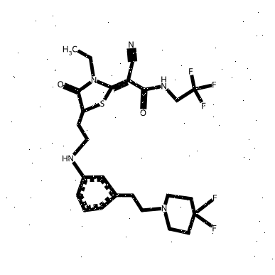 CCN1C(=O)C(CCNc2cccc(CCN3CCC(F)(F)CC3)c2)S/C1=C(/C#N)C(=O)NCC(F)(F)F